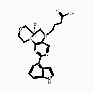 O=C(O)CCCN1C[C@@H]2COCCN2c2nc(-c3cccc4[nH]ccc34)ncc21